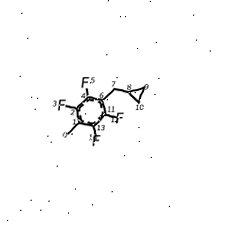 [CH2]c1c(F)c(F)c(CC2CC2)c(F)c1F